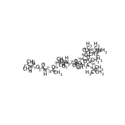 CC[C@H](C)NC(=O)COCC(=O)NCCC(C)OCCC(C)(C)OC(=O)NCCOP(=O)(O)OCC(COC(=O)C(C)(C)CCC(C)(C)N)OC(=O)C(C)(C)CCC(C)(C)C